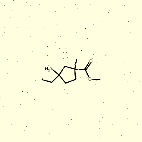 CCC1(N)CCC(C)(C(=O)OC)C1